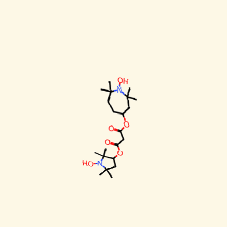 CC1(C)CCC(OC(=O)CC(=O)OC2CC(C)(C)N(O)C2(C)C)CC(C)(C)N1O